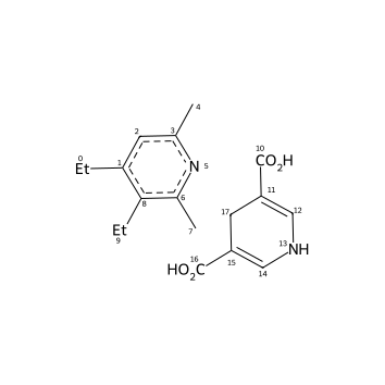 CCc1cc(C)nc(C)c1CC.O=C(O)C1=CNC=C(C(=O)O)C1